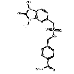 COC(=O)c1ccc(CNS(=O)(=O)Cc2ccc3c(c2)n(C)c(=O)n3C)cc1